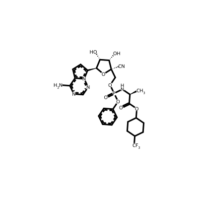 C[C@H](NP(=O)(OC[C@@]1(C#N)O[C@@H](c2ccc3c(N)ncnn23)[C@H](O)[C@@H]1O)Oc1ccccc1)C(=O)OC1CCC(C(F)(F)F)CC1